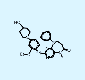 CCOc1cc(N2CCC(O)CC2)ccc1Nc1ncc2c(n1)N(c1ccccc1)CCC(=O)N2C